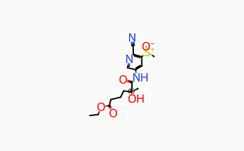 CCOC(=O)CCC[C@@](C)(O)C(=O)Nc1cnc(C#N)c([S+](C)[O-])c1